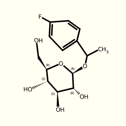 CC(O[C@@H]1O[C@H](CO)[C@@H](O)[C@H](O)[C@H]1O)c1ccc(F)cc1